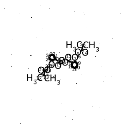 CC(C)C(=O)OCOc1ccccc1C(=O)OOC(=O)c1ccccc1OCOC(=O)C(C)C